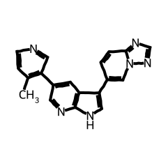 Cc1ccncc1-c1cnc2[nH]cc(-c3ccc4ncnn4c3)c2c1